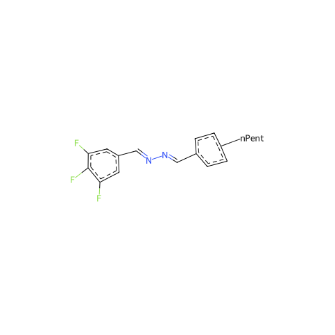 CCCCCc1ccc(/C=N/N=C/c2cc(F)c(F)c(F)c2)cc1